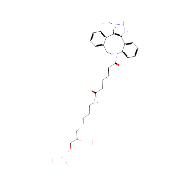 CCn1nnc2c1-c1ccccc1CN(C(=O)CCCCC(=O)NCCCOCC(O)COP(C)(=O)O)c1ccccc1-2